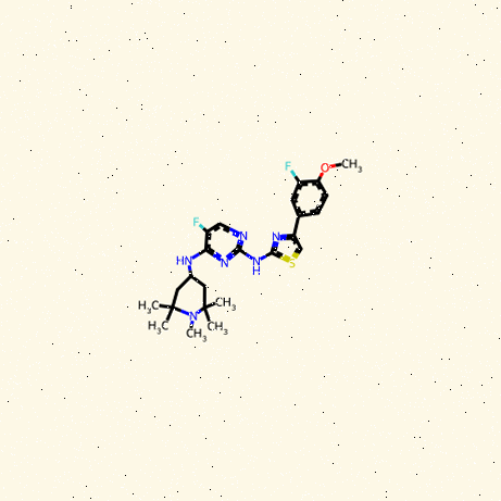 COc1ccc(-c2csc(Nc3ncc(F)c(NC4CC(C)(C)N(C)C(C)(C)C4)n3)n2)cc1F